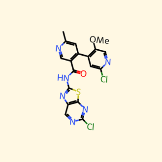 COc1cnc(Cl)cc1-c1cc(C)ncc1C(=O)Nc1nc2cnc(Cl)nc2s1